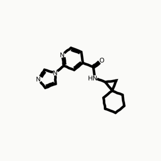 O=C(NC1CC12CCCCC2)c1ccnc(-n2ccnc2)c1